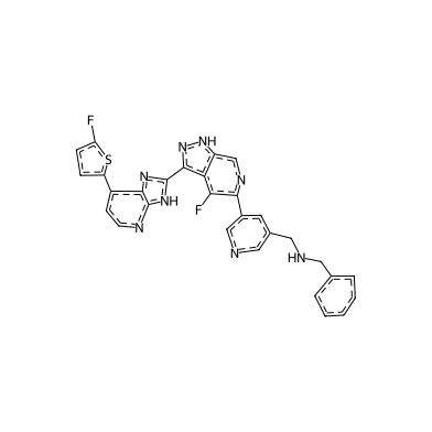 Fc1ccc(-c2ccnc3[nH]c(-c4n[nH]c5cnc(-c6cncc(CNCc7ccccc7)c6)c(F)c45)nc23)s1